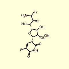 CC(C)C(N)C(=O)C(O)[C@H]1O[C@@H](n2cc(F)c(=O)[nH]c2=O)[C@H](O)[C@@H]1O.Cl